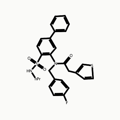 CCCNS(=O)(=O)c1ccc(-c2ccccc2)cc1N(Cc1ccc(F)cc1)C(=O)Cc1ccsc1